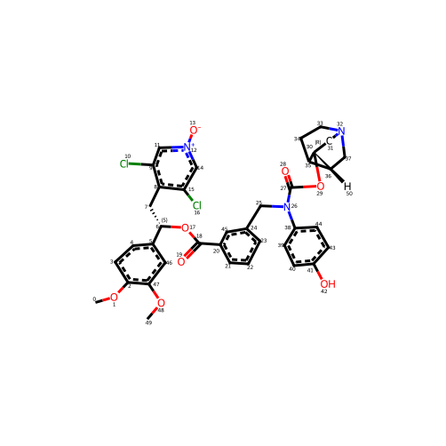 COc1ccc([C@H](Cc2c(Cl)c[n+]([O-])cc2Cl)OC(=O)c2cccc(CN(C(=O)O[C@H]3CN4CCC3CC4)c3ccc(O)cc3)c2)cc1OC